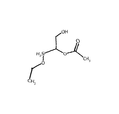 CCO[SiH2]C(CO)OC(C)=O